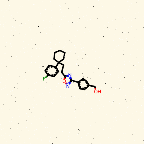 OCc1ccc(-c2noc(CCC3(c4ccc(F)cc4)CCCCC3)n2)cc1